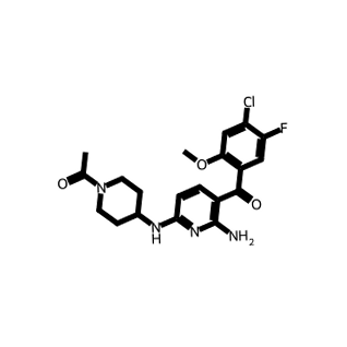 COc1cc(Cl)c(F)cc1C(=O)c1ccc(NC2CCN(C(C)=O)CC2)nc1N